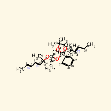 C/C=C/C=C/C(C)(C)O[Si](C)(C)O[Si](OC(C)(C)C)(O[Si](C)(C)/C=C/CC)c1ccccc1